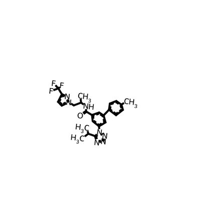 Cc1ccc(-c2cc(C(=O)NC(C)Cn3ccc(C(F)(F)F)n3)cc(-n3nnnc3C(C)C)c2)cc1